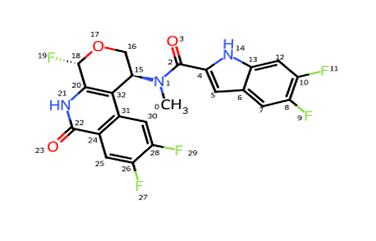 CN(C(=O)c1cc2cc(F)c(F)cc2[nH]1)[C@@H]1CO[C@@H](F)c2[nH]c(=O)c3cc(F)c(F)cc3c21